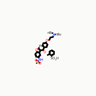 CCCCN(CCCC)CCCOc1ccc(C(=O)c2c(C(C)C)oc3ccc(NS(C)(=O)=O)cc23)cc1.Cc1ccccc1S(=O)(=O)O